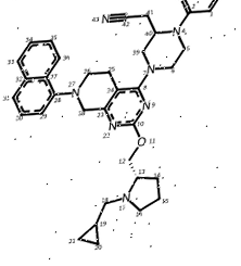 C=CC(=O)N1CCN(c2nc(OC[C@@H]3CCCN3CC3CC3)nc3c2CCN(c2cccc4ccccc24)C3)CC1CC#N